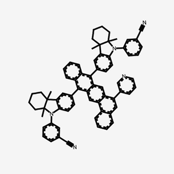 CC12CCCCC1(C)N(c1cccc(C#N)c1)c1ccc(-c3c4ccccc4c(-c4ccc5c(c4)C4(C)CCCCC4(C)N5c4cccc(C#N)c4)c4cc5c(cc34)c(-c3cccnc3)cc3ccccc35)cc12